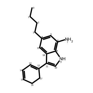 CCCCc1cc(N)c2[nH]cc(C3=CC=CCC3)c2c1